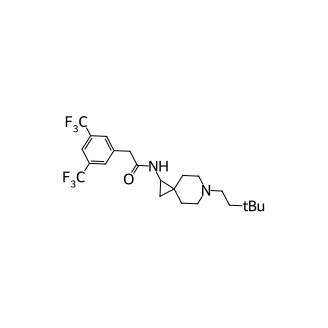 CC(C)(C)CCN1CCC2(CC1)CC2NC(=O)Cc1cc(C(F)(F)F)cc(C(F)(F)F)c1